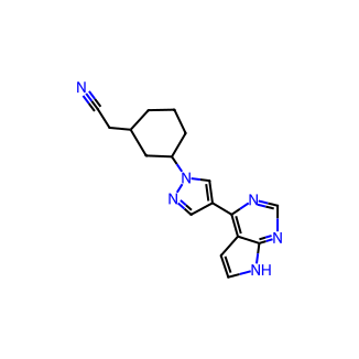 N#CCC1CCCC(n2cc(-c3ncnc4[nH]ccc34)cn2)C1